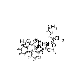 CCCCN(C)C(=O)N[C@@H](C)C(=O)NN1C(=O)C(C)c2ccccc2-c2ccccc21